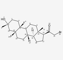 C[C@@]1(O)CC[C@]2(F)C3CC[C@]4(C)[C@@H](C(=O)CBr)CC[C@H]4[C@@H]3CC[C@]2(F)C1